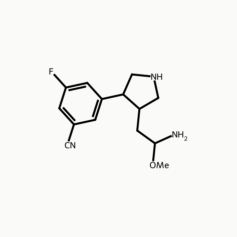 COC(N)CC1CNCC1c1cc(F)cc(C#N)c1